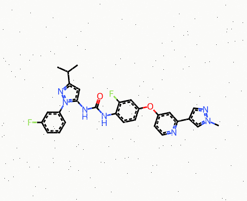 CC(C)c1cc(NC(=O)Nc2ccc(Oc3ccnc(-c4cnn(C)c4)c3)cc2F)n(-c2cccc(F)c2)n1